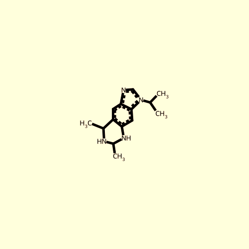 CC1Nc2cc3c(cc2C(C)N1)ncn3C(C)C